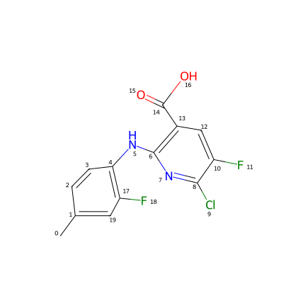 Cc1ccc(Nc2nc(Cl)c(F)cc2C(=O)O)c(F)c1